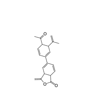 C=C(C)C1C=C(C2=CC3C(=C)OC(=O)C3C=C2)C=CC1C(C)=O